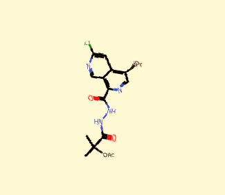 CC(=O)OC(C)(C)C(=O)NNC(=O)c1ncc(C(C)C)c2cc(Cl)ncc12